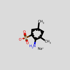 Cc1cc(C)c(N)c(S(=O)(=O)[O-])c1.[Na+]